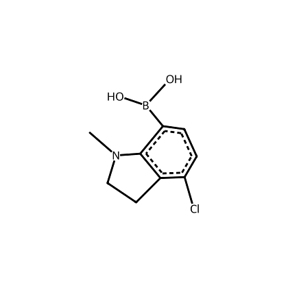 CN1CCc2c(Cl)ccc(B(O)O)c21